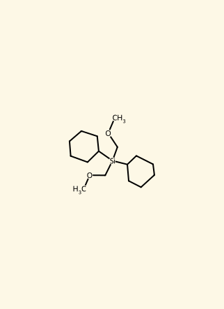 COC[Si](COC)(C1CCCCC1)C1CCCCC1